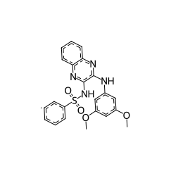 COc1cc(Nc2nc3ccccc3nc2NS(=O)(=O)c2c[c]ccc2)cc(OC)c1